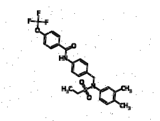 CCS(=O)(=O)N(Cc1ccc(NC(=O)c2ccc(OC(F)(F)F)cc2)cc1)c1ccc(C)c(C)c1